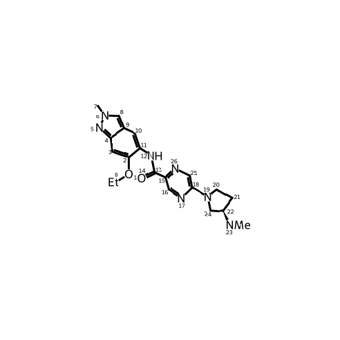 CCOc1cc2nn(C)cc2cc1NC(=O)c1cnc(N2CC[C@@H](NC)C2)cn1